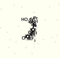 CC(C)C(NC(=O)c1cc(-c2ccc(NC(=O)Nc3ccc(Cl)cc3C(F)(F)F)cc2)no1)C(=O)O